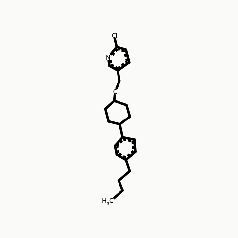 CCCCc1ccc(C2CCC(CCc3ccc(Cl)nc3)CC2)cc1